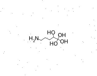 NCCCC(O)C(O)(O)O